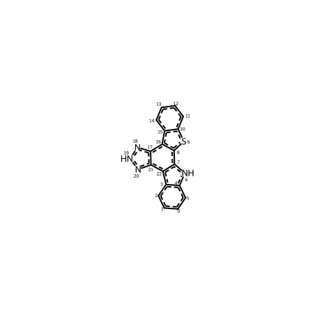 c1ccc2c(c1)[nH]c1c3sc4ccccc4c3c3n[nH]nc3c21